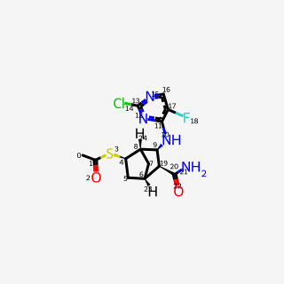 CC(=O)S[C@@H]1C[C@@H]2C[C@H]1[C@@H](Nc1nc(Cl)ncc1F)[C@H]2C(N)=O